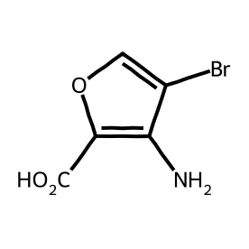 Nc1c(Br)coc1C(=O)O